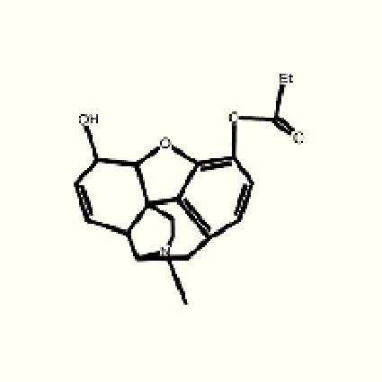 CCC(=O)Oc1ccc2c3c1OC1C(O)C=CC4C(C2)N(C)CCC341